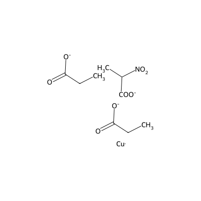 CC(C(=O)[O-])[N+](=O)[O-].CCC(=O)[O-].CCC(=O)[O-].[Cu]